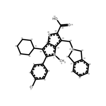 Cn1c(-c2ccc(Cl)cc2)c(C2CCCCC2)c2sc(C(=O)O)c(CN3Cc4ccccc4C3)c21